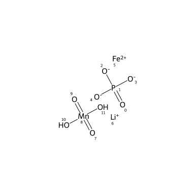 O=P([O-])([O-])[O-].[Fe+2].[Li+].[O]=[Mn](=[O])([OH])[OH]